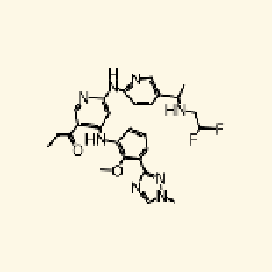 CCC(=O)c1cnc(Nc2ccc(C(C)NCC(F)F)cn2)cc1Nc1cccc(-c2ncn(C)n2)c1OC